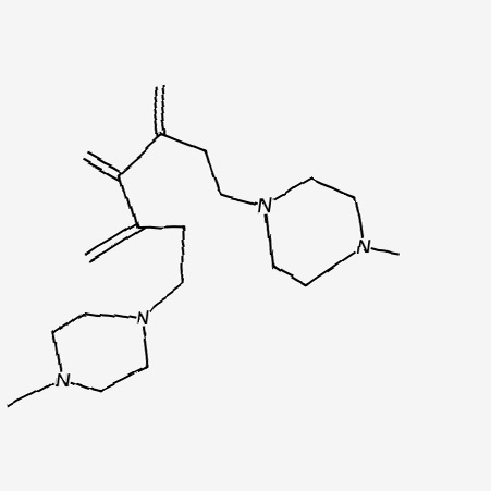 C=C(CCN1CCN(C)CC1)C(=C)C(=C)CCN1CCN(C)CC1